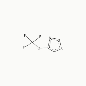 FC(F)(F)Oc1cscn1